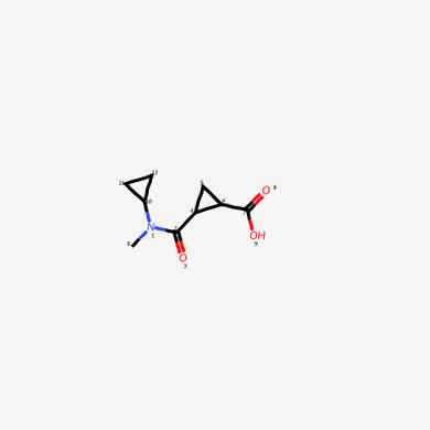 CN(C(=O)C1CC1C(=O)O)C1CC1